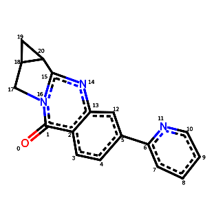 O=c1c2ccc(-c3ccccn3)cc2nc2n1CC1CC21